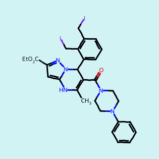 CCOC(=O)c1cc2n(n1)C(c1cccc(CI)c1CI)C(C(=O)N1CCN(c3ccccc3)CC1)=C(C)N2